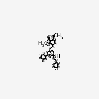 COc1ccc(CCC(CCc2ccccc2)OC(=S)NCCc2ccccc2)c(OC)c1OC